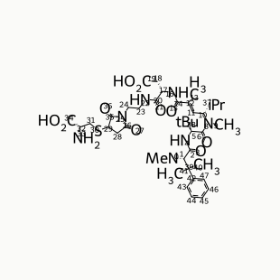 CN[C@H](C(=O)N[C@H](C(=O)N(C)[C@H](/C=C(\C)C(=O)N[C@@H](CC(=O)O)C(=O)NCCN1C(=O)CC(SC[C@H](N)C(=O)O)C1=O)C(C)C)C(C)(C)C)C(C)(C)c1ccccc1